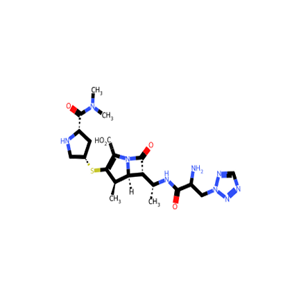 C[C@@H](NC(=O)C(N)Cn1ncnn1)[C@H]1C(=O)N2C(C(=O)O)=C(S[C@@H]3CN[C@H](C(=O)N(C)C)C3)[C@H](C)[C@H]12